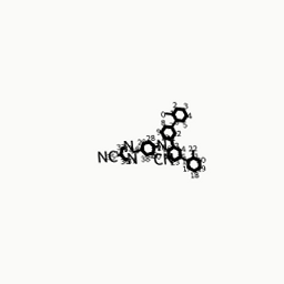 Cc1ccccc1-c1ccc2c(c1)c1cc(-c3ccccc3C)ccc1n2-c1ccc(-c2ncc(C#N)cn2)cc1C#N